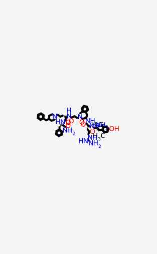 Cc1cc(O)cc(C)c1C[C@H](N)C(=O)N[C@H](CCCNC(=N)N)C(=O)N[C@H]1Cc2ccccc2CN(CCC(=O)N[C@@H](CCCN2CCC(Cc3ccccc3)CC2)C(=O)N[C@@H](Cc2ccccc2)C(N)=O)C1=O